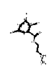 CNCCOC(=O)c1cc(I)cc(I)c1I